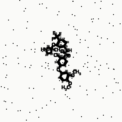 COc1ccc(Oc2ccc(S(=O)(=O)Nc3ccc(C(F)(F)F)c(O[C@]4(C)CCNC4)c3)c(Cl)c2)cc1OC